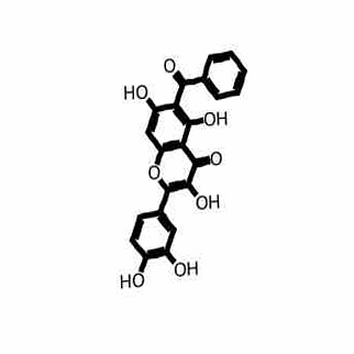 O=C(c1ccccc1)c1c(O)cc2oc(-c3ccc(O)c(O)c3)c(O)c(=O)c2c1O